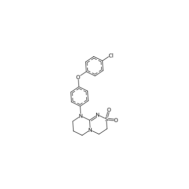 O=S1(=O)CCN2CCCN(c3ccc(Oc4ccc(Cl)cc4)cc3)C2=N1